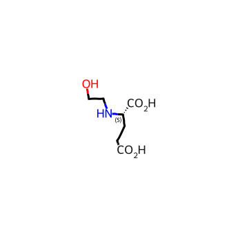 O=C(O)CC[C@H](NCCO)C(=O)O